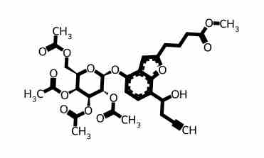 C#CCC(O)c1ccc(O[C@@H]2O[C@H](COC(C)=O)[C@H](OC(C)=O)[C@H](OC(C)=O)[C@H]2OC(C)=O)c2cc(CCCC(=O)OC)oc12